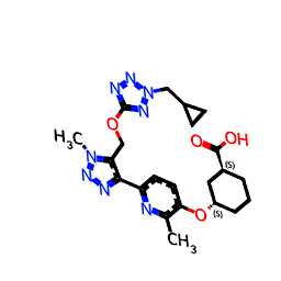 Cc1nc(-c2nnn(C)c2COc2nnn(CC3CC3)n2)ccc1O[C@H]1CCC[C@H](C(=O)O)C1